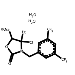 CCCCCCCCC1OC(=O)N(Cc2cc(C(F)(F)F)cc(C(F)(F)F)c2)C1(Cl)CC.O.O